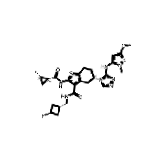 COc1cc(Nc2nncn2[C@H]2CCc3sc(NC(=O)[C@H]4C[C@@H]4C)c(C(=O)NC[C@H]4C[C@H](F)C4)c3C2)n(C)n1